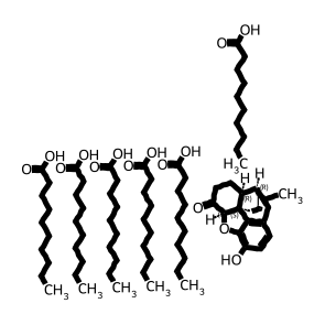 CCCCCCCCCC(=O)O.CCCCCCCCCC(=O)O.CCCCCCCCCC(=O)O.CCCCCCCCCC(=O)O.CCCCCCCCCC(=O)O.CCCCCCCCCC(=O)O.CN1CC[C@]23c4c5ccc(O)c4O[C@H]2C(=O)CC[C@H]3[C@H]1C5